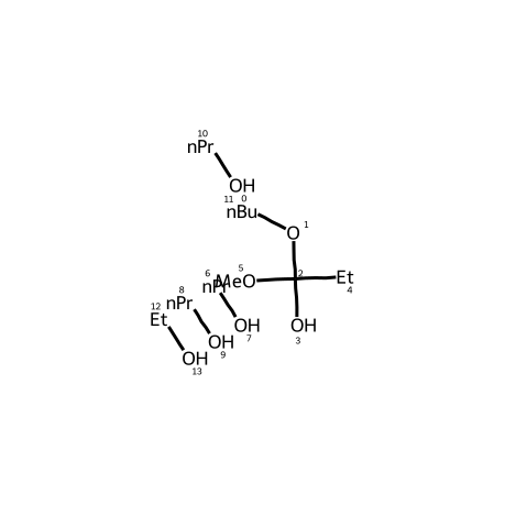 CCCCOC(O)(CC)OC.CCCO.CCCO.CCCO.CCO